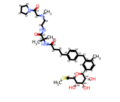 CS#CC1O[C@@H](c2ccc(C)c(Cc3ccc(CCCC(=O)NC(C)(C)C(=O)NCCN(C)CC(=O)N4CCCC4)cc3)c2)[C@H](O)[C@@H](O)[C@@H]1O